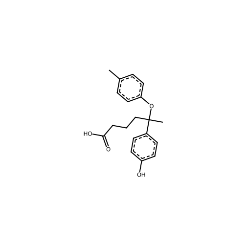 Cc1ccc(OC(C)(CCCC(=O)O)c2ccc(O)cc2)cc1